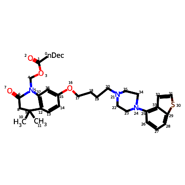 CCCCCCCCCCC(=O)OCN1C(=O)CC(C)(C)c2ccc(OCCCCN3CCN(c4cccc5sccc45)CC3)cc21